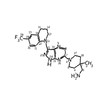 CC1(CN)CCN(c2cnc3c(N4CCCc5cc(C(F)(F)F)ccc54)n[nH]c3n2)CC1